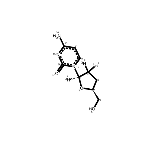 [2H]C1([2H])C[C@@H](CO)O[C@@]1([2H])n1ccc(N)nc1=O